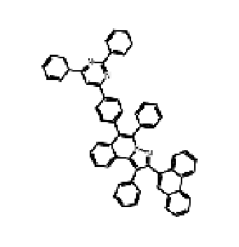 C1=CCC(c2cc(-c3ccc(-c4c(-c5ccccc5)n5nc(-c6cc7ccccc7c7ccccc67)c(-c6ccccc6)c5c5ccccc45)cc3)nc(C3=CCCC=C3)n2)C=C1